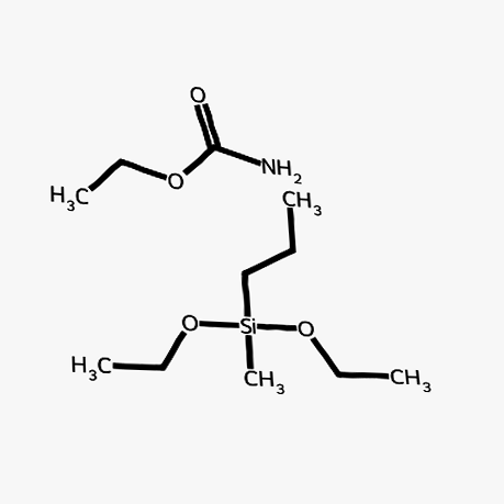 CCC[Si](C)(OCC)OCC.CCOC(N)=O